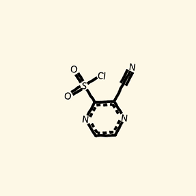 N#Cc1nccnc1S(=O)(=O)Cl